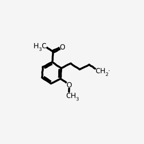 [CH2]CCCc1c(OC)cccc1C(C)=O